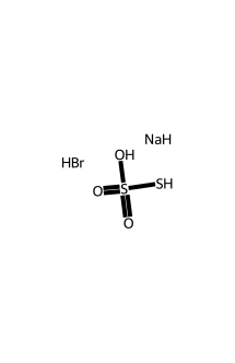 Br.O=S(=O)(O)S.[NaH]